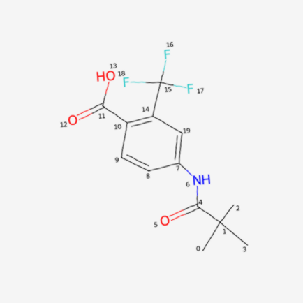 CC(C)(C)C(=O)Nc1ccc(C(=O)O)c(C(F)(F)F)c1